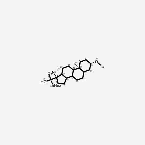 CCCCCC[C@](C)(O)[C@@]1(N)CCC2C3CCC4C[C@@H](OI)CC[C@]4(C)C3CC[C@@]21C